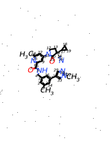 Cc1cc(CNC(=O)c2cc(N3CC[C@@](C#N)(C4CC4)C3=O)cc(C)n2)cc(-c2cnn(C)c2)c1